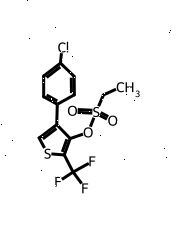 CCS(=O)(=O)Oc1c(-c2ccc(Cl)cc2)csc1C(F)(F)F